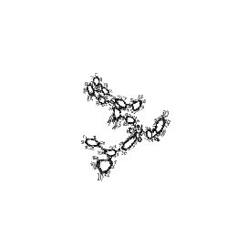 c1ccc(-c2cc(-c3ccccc3)cc(-c3ccc4sc5c(-c6ccc7sc8ccccc8c7c6)nc(-c6cccc(-c7cccc8c7c7cc(-c9ccccc9)ccc7n8-c7ccc8c(c7)C(c7ccccc7)(c7ccccc7)c7ccccc7-8)c6)nc5c4c3)c2)cc1